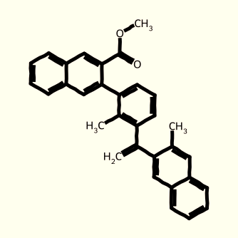 C=C(c1cc2ccccc2cc1C)c1cccc(-c2cc3ccccc3cc2C(=O)OC)c1C